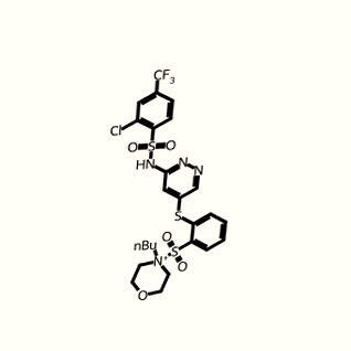 CCCC[N+]1(S(=O)(=O)c2ccccc2Sc2cnnc(NS(=O)(=O)c3ccc(C(F)(F)F)cc3Cl)c2)CCOCC1